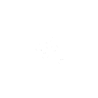 CC(C)Cn1c(C(NC(=O)O)C(C)(C)C)c(-c2cccc(F)c2)c2cc(OCC(N)=O)ccc2c1=O